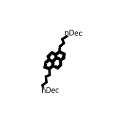 CCCCCCCCCCCCCCc1ccc2ccc3c(CCCCCCCCCCCCCC)ccc4ccc1c2c43